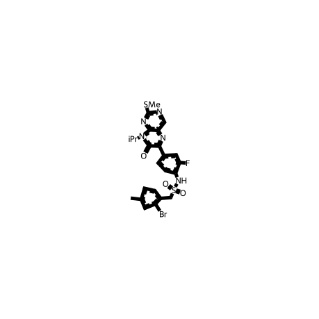 CSc1ncc2nc(-c3ccc(NS(=O)(=O)Cc4ccc(C)cc4Br)c(F)c3)c(=O)n(C(C)C)c2n1